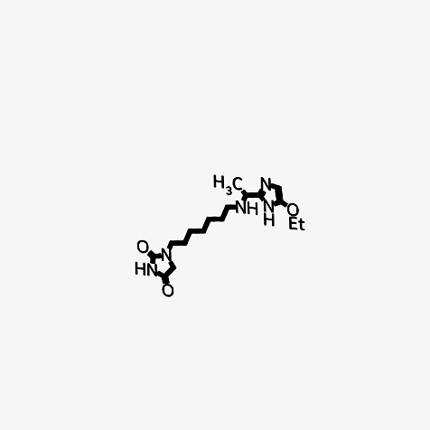 CCOc1cnc(C(C)NCCCCCCCN2CC(=O)NC2=O)[nH]1